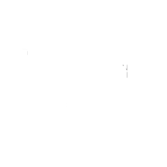 C=C1C(C)=C(C)C(C)=C1c1cccc2c1NCCC2.[CH3][Ti][CH3]